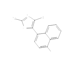 CC(C)c1nc(N)oc1-c1ccc(F)c2ccccc12